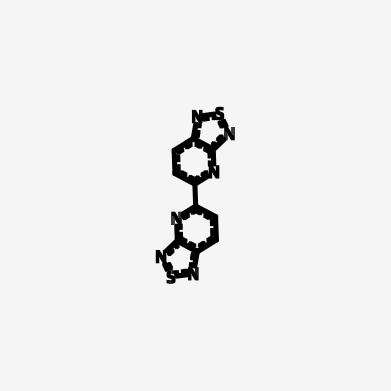 c1cc2nsnc2nc1-c1ccc2nsnc2n1